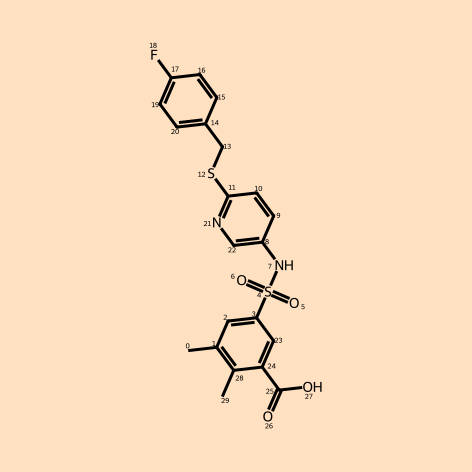 Cc1cc(S(=O)(=O)Nc2ccc(SCc3ccc(F)cc3)nc2)cc(C(=O)O)c1C